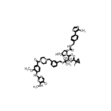 CNc1nc(Nc2ccc(C(=O)N3CCN(Cc4cccc(CSC(C)(C)[C@H](NC(=O)C5(F)CC5)C(=O)N5C[C@H](O)C[C@H]5C(=O)NCc5ccc(-c6scnc6C)cc5)c4)CC3)cc2OC)ncc1Cl